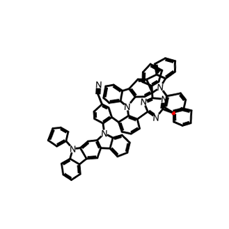 N#Cc1ccc(-n2c3ccccc3c3cc4c5ccccc5n(-c5ccccc5)c4cc32)c(-c2cccc(-c3nc(-c4ccccc4)nc(-c4ccccc4)n3)c2-n2c3ccccc3c3cc4c5ccccc5n(-c5ccccc5)c4cc32)c1